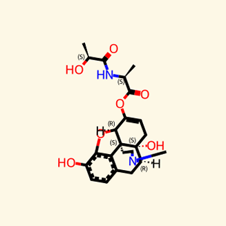 C[C@H](O)C(=O)N[C@@H](C)C(=O)OC1=CC[C@@]2(O)[C@H]3Cc4ccc(O)c5c4[C@@]2(CCN3C)[C@H]1O5